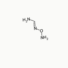 N/C=N/ON